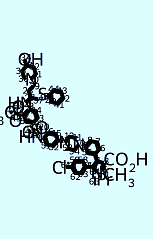 Cc1c(C(=O)O)c(-c2cccc(N3CCN(c4ccc(NS(=O)(=O)c5ccc(NC(CCN6CCC(O)CC6)CSc6ccccc6)c(S(C)(=O)=O)c5)cc4)CC3)c2)c(-c2ccc(Cl)cc2)n1C(C)C